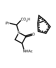 CC(=O)NC1CN(C(C(=O)O)C(C)C)C1=O.c1cc2cc-2c1